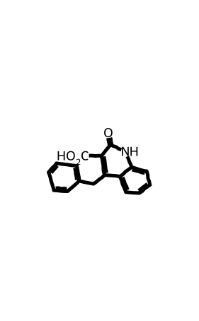 O=C(O)c1c(Cc2ccccc2)c2ccccc2[nH]c1=O